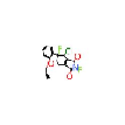 C#CCOc1ccccc1C1(F)CCC2=C(C(=O)N(F)C2=O)C1Cl